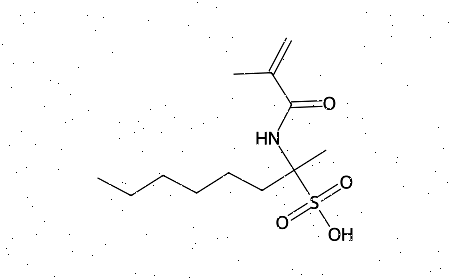 C=C(C)C(=O)NC(C)(CCCCCC)S(=O)(=O)O